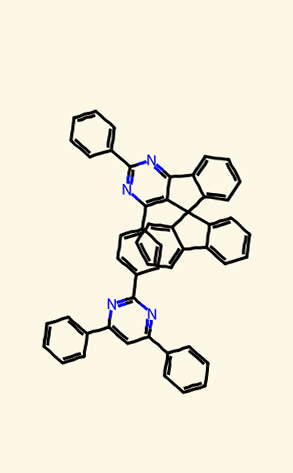 c1ccc(-c2cc(-c3ccccc3)nc(-c3ccc(-c4nc(-c5ccccc5)nc5c4C4(c6ccccc6-c6ccccc64)c4ccccc4-5)cc3)n2)cc1